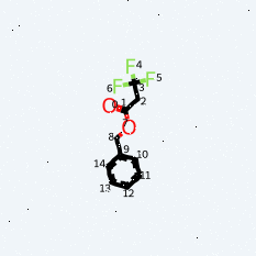 O=C(CC(F)(F)F)OCc1ccccc1